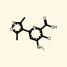 Cc1noc(C)c1-c1cc(N)c(Cl)c(C(=O)O)n1